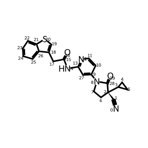 N#C[C@@]1(C2CC2)CCN(c2ccnc(NC(=O)Cc3csc4ccccc34)c2)C1=O